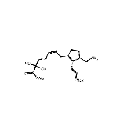 CCCCCC/C=C/[C@H]1[C@H](CN)CC[C@@H]1C/C=C\CCC(O)(O)C(=O)OC